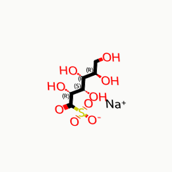 O=C([C@H](O)[C@@H](O)[C@H](O)[C@H](O)CO)S(=O)(=O)[O-].[Na+]